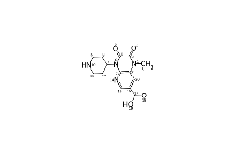 Cn1c(=O)c(=O)n(C2CCNCC2)c2ncc(C(=O)O)cc21